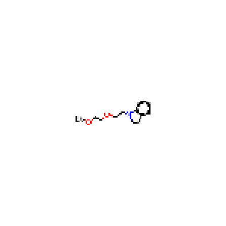 CCOCCOCCN1CCc2ccccc21